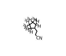 [2H]C1([2H])C(CCC#N)C([2H])([2H])C([2H])([2H])C1([2H])[2H]